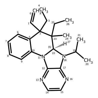 C=CC1(CC)c2ccccc2N2c3nccnc3N(C(C)C)[C@@H]2C1(C)CC